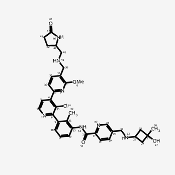 COc1nc(-c2ccnc(-c3cccc(NC(=O)c4ccc(CNC5CC(C)(O)C5)cn4)c3C)c2Cl)ccc1CNCC1CCC(=O)N1